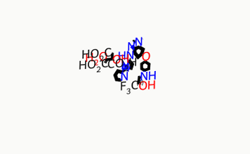 Cn1cnc2c(Nc3ccn(-c4ccccn4)n3)cc(OC3CCC(NC[C@@H](O)C(F)(F)F)CC3)cc21.O.O=C(O)CC(O)(CC(=O)O)C(=O)O